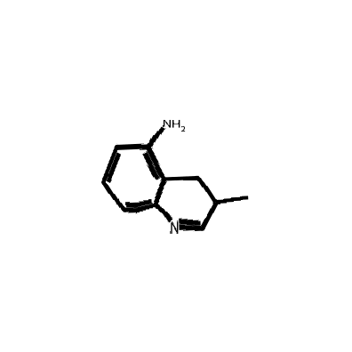 CC1C=Nc2cccc(N)c2C1